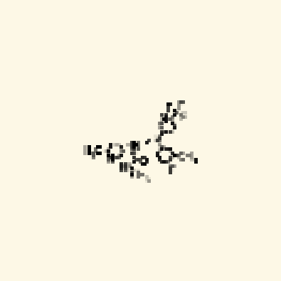 CNC(=O)[C@@H](NCC[C@H](c1ccc(C(F)(F)F)nc1)c1ccc(F)c(C)c1)c1ccc(C)nc1